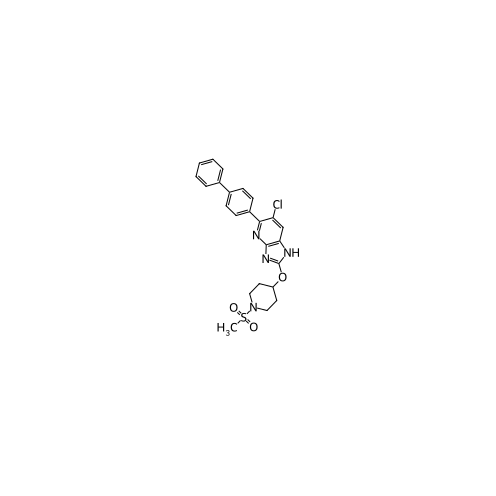 CS(=O)(=O)N1CCC(Oc2nc3nc(-c4ccc(-c5ccccc5)cc4)c(Cl)cc3[nH]2)CC1